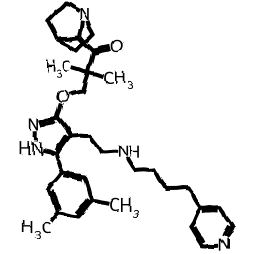 Cc1cc(C)cc(-c2[nH]nc(OCC(C)(C)C(=O)C3C4CCN3CC4)c2CCNCCCCc2ccncc2)c1